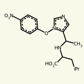 CC(C)CC(NC(C)c1cncn1Oc1ccc([N+](=O)[O-])cc1)C(=O)O